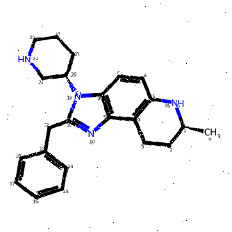 C[C@H]1CCc2c(ccc3c2nc(Cc2ccccc2)n3[C@@H]2CCCNC2)N1